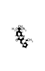 CC[C@@H]1CCCN1Cc1cnc2cc(C(C)(C)C)ccn2c1=O